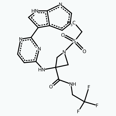 CCS(=O)(=O)N1CC(Nc2ccnc(-c3c[nH]c4ncccc34)n2)(C(=O)NCC(F)(F)F)C1